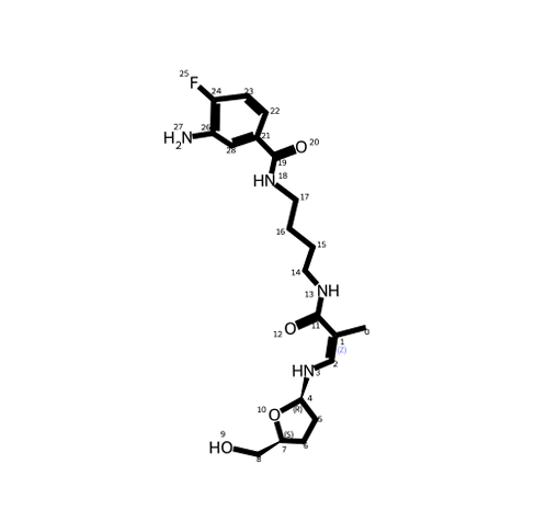 C/C(=C/N[C@H]1CC[C@@H](CO)O1)C(=O)NCCCCNC(=O)c1ccc(F)c(N)c1